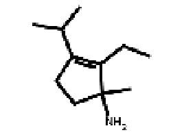 CCC1=C(C(C)C)CCC1(C)N